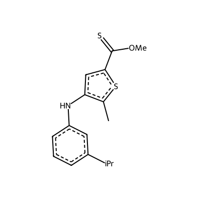 COC(=S)c1cc(Nc2cccc(C(C)C)c2)c(C)s1